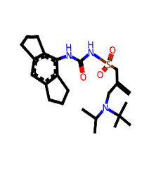 C=C(CN(C(C)C)C(C)(C)C)CS(=O)(=O)NC(=O)Nc1c2c(cc3c1CCC3)CCC2